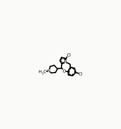 CN1CCC(C2Oc3ccc(Cl)cc3Cn3c(Cl)ccc32)CC1